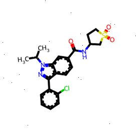 CC(C)n1nc(-c2ccccc2Cl)c2ccc(C(=O)NC3CCS(=O)(=O)C3)cc21